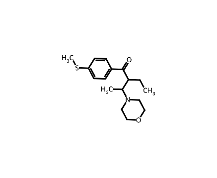 CCC(C(=O)c1ccc(SC)cc1)C(C)N1CCOCC1